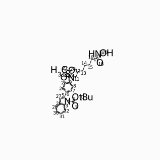 CC(C)(C)OC(=O)n1c(-c2ccc(N(CCCCCCC(=O)NO)S(C)(=O)=O)cc2)cc2ccccc21